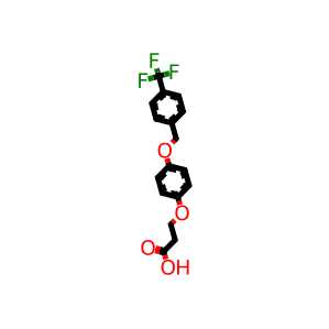 O=C(O)CCOc1ccc(OCc2ccc(C(F)(F)F)cc2)cc1